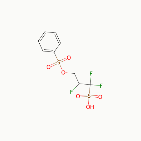 O=S(=O)(OCC(F)C(F)(F)S(=O)(=O)O)c1ccccc1